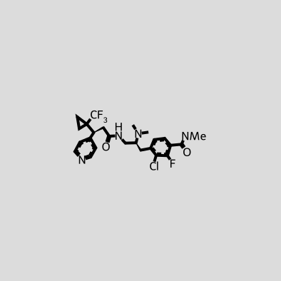 CNC(=O)c1ccc(C[C@@H](CNC(=O)C[C@@H](c2ccncc2)C2(C(F)(F)F)CC2)N(C)C)c(Cl)c1F